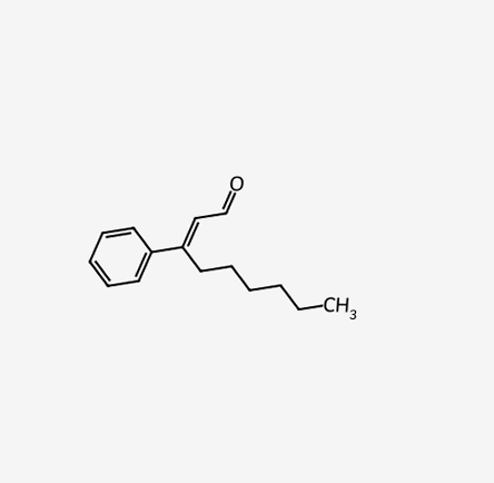 CCCCCCC(=CC=O)c1ccccc1